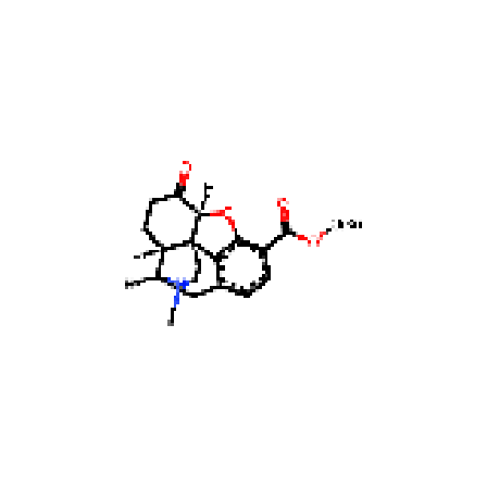 CC(C)COOC(=O)c1ccc2c3c1O[C@H]1C(=O)CC[C@H]4[C@@H](C2)N(C)CC[C@]314